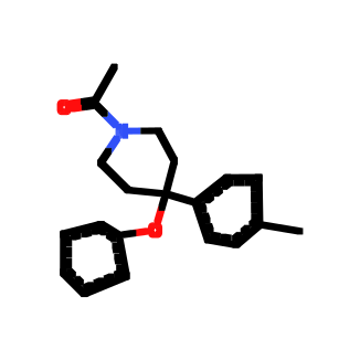 CC(=O)N1CCC(Oc2ccccc2)(c2ccc(C)cc2)CC1